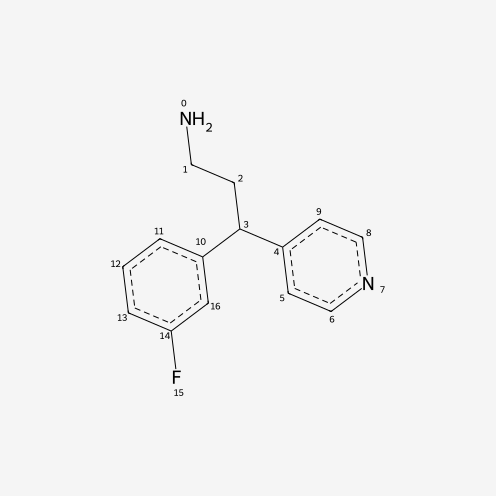 NCCC(c1ccncc1)c1cccc(F)c1